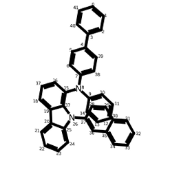 c1ccc(-c2ccc(N(c3ccccc3)c3cccc4c5ccccc5n(-c5ccc6ccccc6c5)c34)cc2)cc1